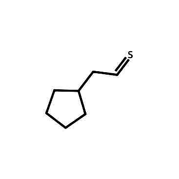 S=CCC1CCCC1